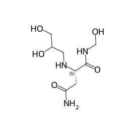 NC(=O)C[C@H](NCC(O)CO)C(=O)NCO